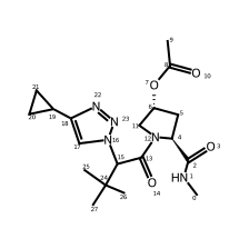 CNC(=O)[C@@H]1C[C@@H](OC(C)=O)CN1C(=O)C(n1cc(C2CC2)nn1)C(C)(C)C